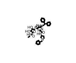 CCNC(=O)[C@H]1O[C@@H](n2cnc3c(NCC(c4ccccc4)c4ccccc4)nc(C(=O)N[C@H]4CCN(Cc5ccccc5)C4)nc32)[C@H](O)[C@@H]1O